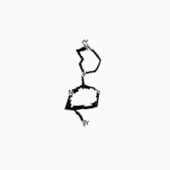 CC(C)c1cnc(N2CCNCC2)nc1